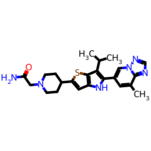 Cc1cc(-c2[nH]c3cc(C4CCN(CC(N)=O)CC4)sc3c2C(C)C)cn2ncnc12